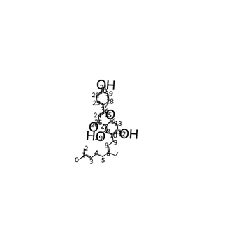 CC(C)=CCC/C(C)=C/Cc1c(O)cc2oc(-c3ccc(O)cc3)cc(=O)c2c1O